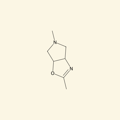 CC1=NC2CN(C)CC2O1